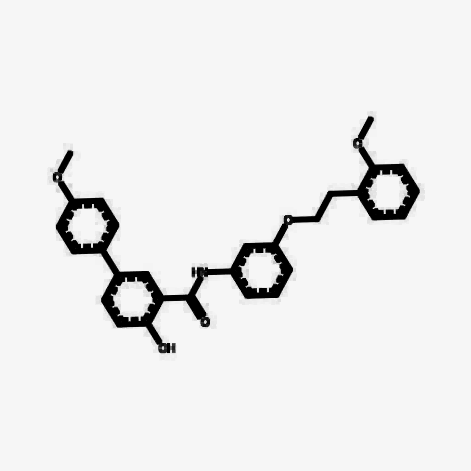 COc1ccc(-c2ccc(O)c(C(=O)Nc3cccc(OCCc4ccccc4OC)c3)c2)cc1